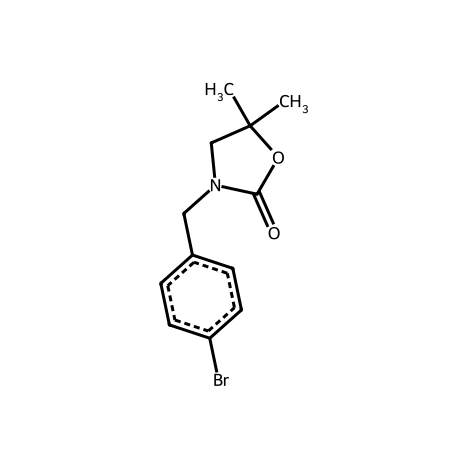 CC1(C)CN(Cc2ccc(Br)cc2)C(=O)O1